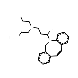 O=C(O)CCN(CCC(=O)O)CCC(O)N1Cc2ccccc2/C=C\c2ccccc21